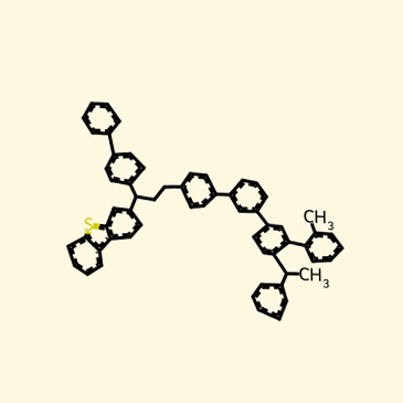 Cc1ccccc1-c1cc(-c2cccc(-c3ccc(CCC(c4ccc(-c5ccccc5)cc4)c4ccc5c(c4)sc4ccccc45)cc3)c2)ccc1C(C)c1ccccc1